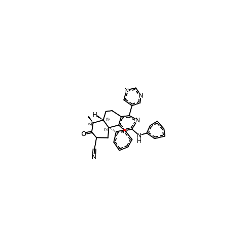 C[C@@H]1C(=O)C(C#N)C[C@]2(c3ccccc3)c3nc(Nc4ccccc4)nc(-c4cncnc4)c3CC[C@@H]12